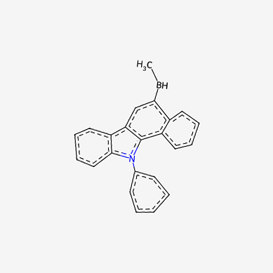 CBc1cc2c3ccccc3n(-c3ccccc3)c2c2ccccc12